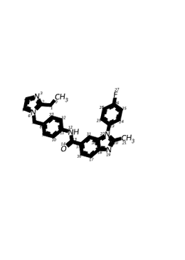 CCc1nccn1Cc1ccc(NC(=O)c2ccc3nc(C)n(-c4ccc(F)cc4)c3c2)cc1